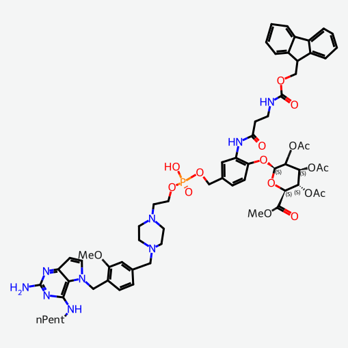 CCCCCNc1nc(N)nc2ccn(Cc3ccc(CN4CCN(CCOP(=O)(O)OCc5ccc(O[C@@H]6O[C@H](C(=O)OC)[C@@H](OC(C)=O)[C@H](OC(C)=O)C6OC(C)=O)c(NC(=O)CCNC(=O)OCC6c7ccccc7-c7ccccc76)c5)CC4)cc3OC)c12